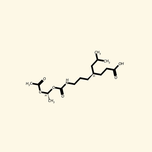 CC(=O)O[C@@H](C)OC(=O)NCCC[C@H](CCC(=O)O)CC(C)C